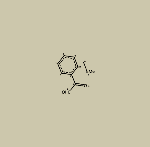 CNC.O=CC(=O)c1ccccc1